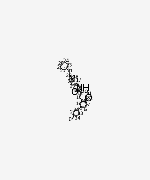 Cc1ccc(-c2ccc3c(c2)C=C(C(=O)NC2CCN(CCC4CCCCC4)CC2)CCO3)cc1